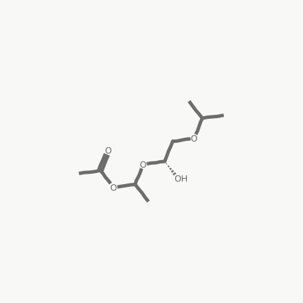 CC(=O)OC(C)O[C@@H](O)COC(C)C